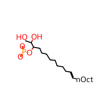 CCCCCCCCC=CCCCCCCCCC(OP(=O)=O)C(O)CO